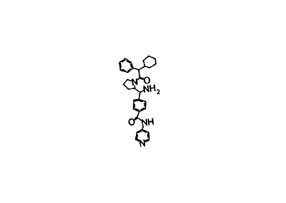 NC(c1ccc(C(=O)Nc2ccncc2)cc1)C1CCCN1C(=O)C(c1ccccc1)C1CCCCC1